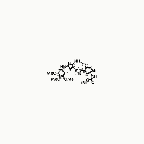 COc1cc(Nc2nc(N)c(-c3nc(-c4cc(NC(=O)OC(C)(C)C)c(F)cc4Cl)no3)s2)cc(OC)c1OC